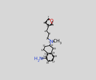 CN(CCCc1ccoc1)C1CCc2c(N)cccc2C1